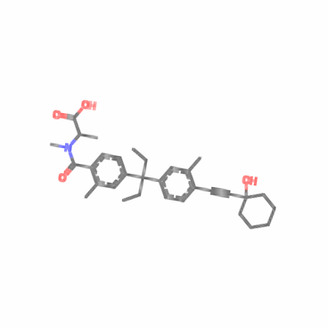 CCC(CC)(c1ccc(C#CC2(O)CCCCC2)c(C)c1)c1ccc(C(=O)N(C)C(C)C(=O)O)c(C)c1